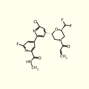 C=CC(=O)N1C[C@H](c2cc(Cl)nc(-c3cc(F)nc(C(=O)NC)c3)c2)O[C@@H](C(F)F)C1